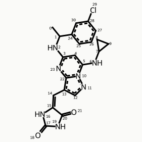 CC(Nc1cc(NC2CC2)n2ncc(/C=C3/NC(=O)NC3=O)c2n1)c1cccc(Cl)c1